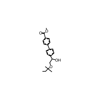 CCC(C)(C)OCC(O)c1ccc(-c2ccc(C(=O)OC)cc2)cc1